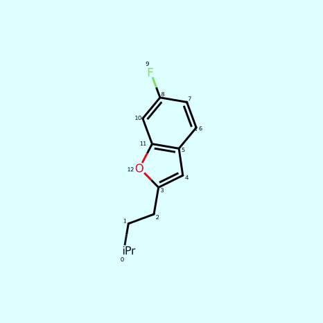 CC(C)CCc1cc2[c]cc(F)cc2o1